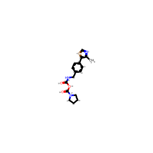 Cc1ncsc1-c1ccc(CNC(=O)OC(=O)N2CCCC2)cc1